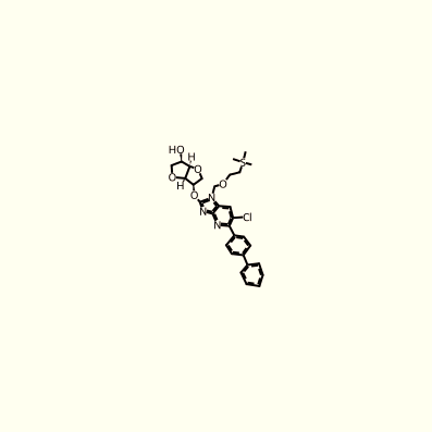 CS(C)(C)CCOCn1c(O[C@@H]2CO[C@H]3[C@@H]2OC[C@H]3O)nc2nc(-c3ccc(-c4ccccc4)cc3)c(Cl)cc21